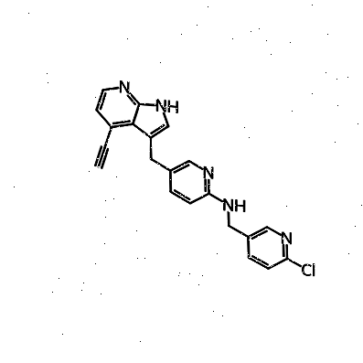 C#Cc1ccnc2[nH]cc(Cc3ccc(NCc4ccc(Cl)nc4)nc3)c12